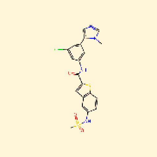 Cn1cncc1-c1cc(Cl)cc(NC(=O)c2cc3cc(NS(C)(=O)=O)ccc3s2)c1